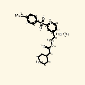 COc1ccc(S(=O)(=O)c2cc(CNOC(=O)CC3CCNCC3)ccn2)cc1.Cl.Cl